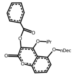 CCCCCCCCCCOc1cccc2oc(=O)c(OC(=O)c3ccccc3)c(OC(C)C)c12